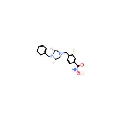 C[C@@H]1CN(Cc2ccc(C(=O)NO)cc2F)C[C@H](C)N1CC1=CC=CCC1